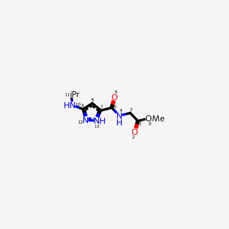 COC(=O)CNC(=O)c1cc(NC(C)C)n[nH]1